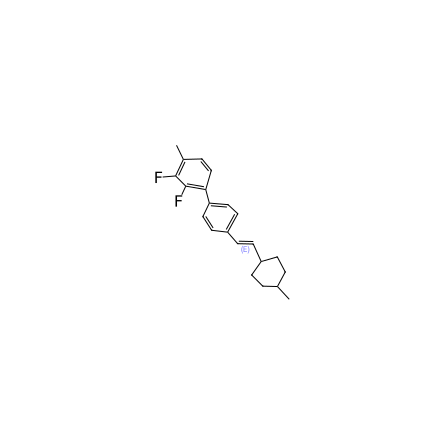 Cc1ccc(-c2ccc(/C=C/C3CCC(C)CC3)cc2)c(F)c1F